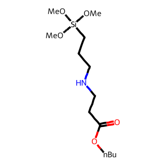 CCCCOC(=O)CCNCCC[Si](OC)(OC)OC